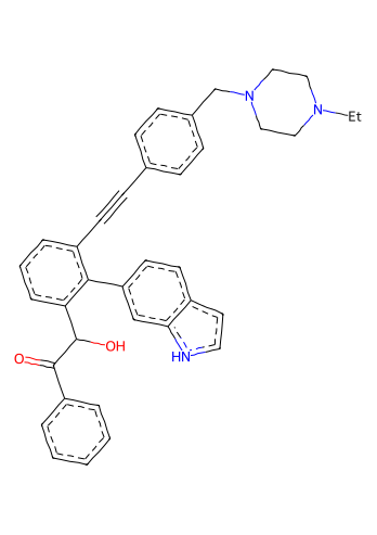 CCN1CCN(Cc2ccc(C#Cc3cccc(C(O)C(=O)c4ccccc4)c3-c3ccc4cc[nH]c4c3)cc2)CC1